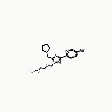 CSCCOCn1nc(-c2ccc(Br)cn2)nc1CC1CCCC1